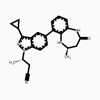 C[C@@H]1CC(=O)Nc2cccc(-c3ccc4c(c3)c(C3CC3)nn4[C@@H](C)CC#N)c2N1